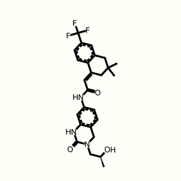 C[C@H](O)CN1Cc2ccc(NC(=O)/C=C3\CC(C)(C)Cc4cc(C(F)(F)F)ccc43)cc2NC1=O